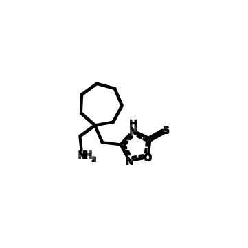 NCC1(Cc2noc(=S)[nH]2)CCCCCC1